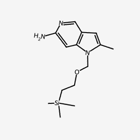 Cc1cc2cnc(N)cc2n1COCC[Si](C)(C)C